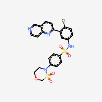 O=S(=O)(Nc1ccc(Cl)c(-c2ccc3cnccc3n2)c1)c1ccc(N2CCOCS2(=O)=O)cc1